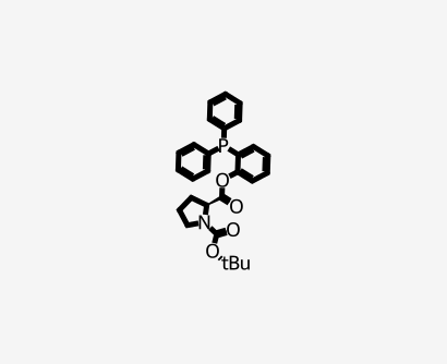 CC(C)(C)OC(=O)N1CCC[C@H]1C(=O)Oc1ccccc1P(c1ccccc1)c1ccccc1